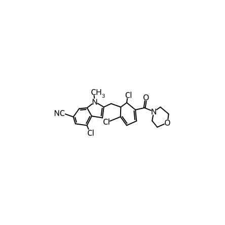 Cn1c(CC2C(Cl)=CC=C(C(=O)N3CCOCC3)C2Cl)cc2c(Cl)cc(C#N)cc21